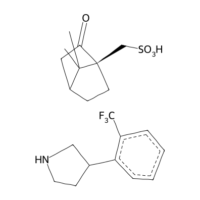 CC1(C)C2CC[C@@]1(CS(=O)(=O)O)C(=O)C2.FC(F)(F)c1ccccc1C1CCNC1